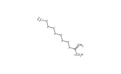 C=C(CCCCCCCCC(F)(F)F)C(=O)O